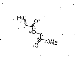 C=CC(=O)OCC(=O)OC